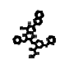 CC(C)C(NC(=O)c1ccc2ccccc2n1)C(=O)NC(Cc1ccccc1)C(O)CN1CC[C@@H](Sc2ncccn2)CC1C(=O)NC(C)(C)C